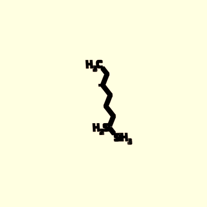 CC[CH]CCC[SiH2][SiH3]